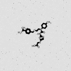 CC1CCC(N(CCOCc2ccc(C(C)C)cc2)C(=O)Nc2ncc(SCC(=O)O)s2)CC1